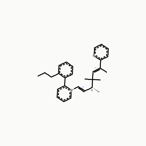 CCCc1ccccc1-c1cccc[n+]1/C=C/[C@@H](C)C(C)(C)/C=C(\C)c1ccccn1